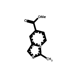 COC(=O)c1ccn2c(C)ncc2c1